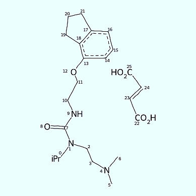 CC(C)N(CCN(C)C)C(=O)NCCOc1cccc2c1CCC2.O=C(O)C=CC(=O)O